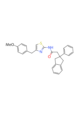 COc1ccc(Cc2csc(NC(=O)CC3(c4ccccc4)Cc4ccccc4C3)n2)cc1